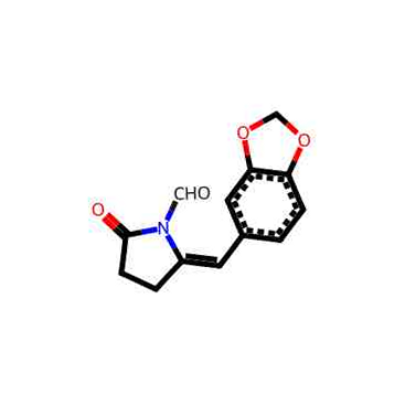 O=CN1C(=O)CCC1=Cc1ccc2c(c1)OCO2